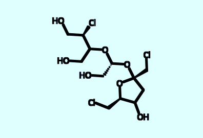 OCC(O[C@@H](CO)O[C@]1(CCl)CC(O)[C@@H](CCl)O1)[C@H](Cl)CO